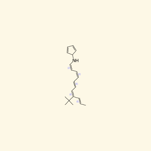 C/C=C/C(=C\C=C\C=C/C=C\NC1C=CC=C1)C(C)(C)C